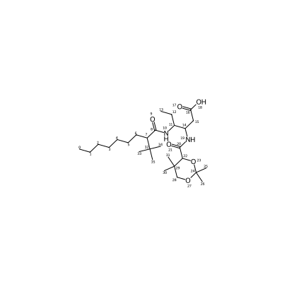 CCCCCCCC(C(=O)NC(CC)C(CC(=O)O)NC(=O)C1OC(C)(C)OCC1(C)C)C(C)(C)C